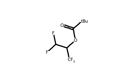 CC(C)(C)C(=O)OC(C(F)F)C(F)(F)F